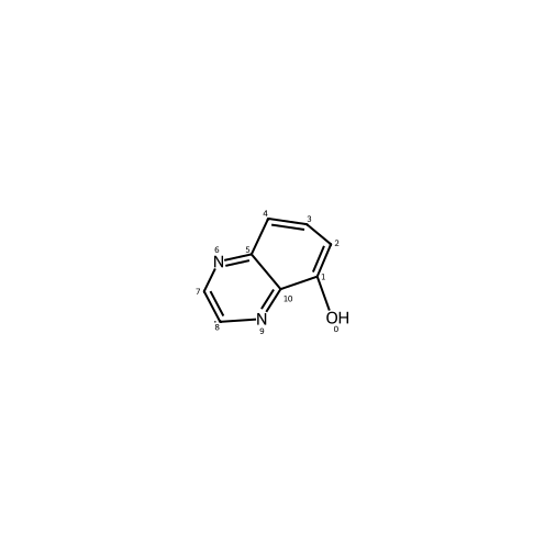 Oc1cccc2nc[c]nc12